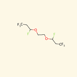 FC(CC(F)(F)F)OCCOC(F)CC(F)(F)F